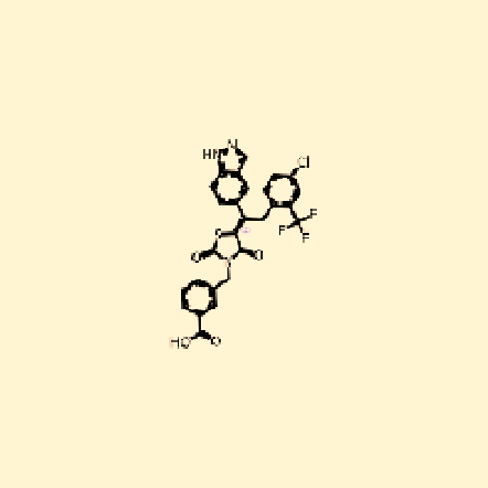 O=C(O)c1cccc(CN2C(=O)S/C(=C(/Cc3ccc(Cl)cc3C(F)(F)F)c3ccc4[nH]ncc4c3)C2=O)c1